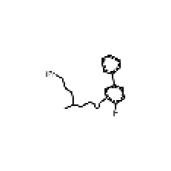 CC(C)CCCC(C)CCOc1cc(-c2ccccc2)ccc1F